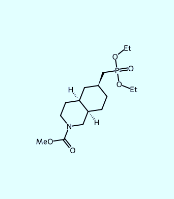 CCOP(=O)(C[C@H]1CC[C@H]2CN(C(=O)OC)CC[C@H]2C1)OCC